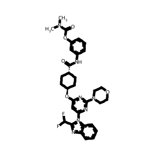 CN(C)C(=O)Oc1cccc(NC(=O)[C@H]2CC[C@H](Oc3cc(-n4c(C(F)F)nc5ccccc54)nc(N4CCOCC4)n3)CC2)c1